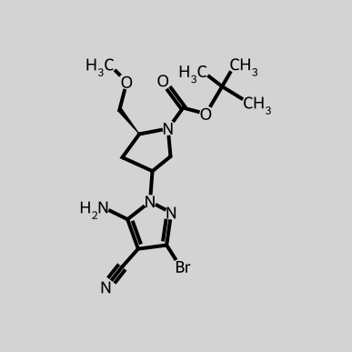 COC[C@@H]1CC(n2nc(Br)c(C#N)c2N)CN1C(=O)OC(C)(C)C